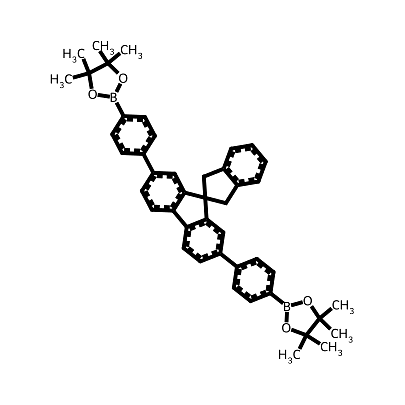 CC1(C)OB(c2ccc(-c3ccc4c(c3)C3(Cc5ccccc5C3)c3cc(-c5ccc(B6OC(C)(C)C(C)(C)O6)cc5)ccc3-4)cc2)OC1(C)C